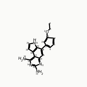 CCOc1cccc(-c2cc3nc(N)nc(N)c3c3cc[nH]c23)c1